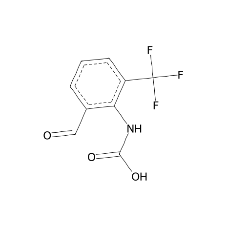 O=Cc1cccc(C(F)(F)F)c1NC(=O)O